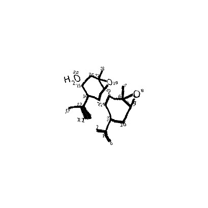 C=C(C)C1CCC2(C)OC2C1.C=C(C)C1CCC2(C)OC2C1.O